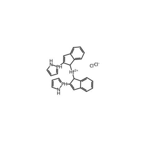 C1=CN[PH](C2=Cc3ccccc3[CH]2[Hf+2][CH]2C([PH]3=CC=CN3)=Cc3ccccc32)=C1.[Cl-].[Cl-]